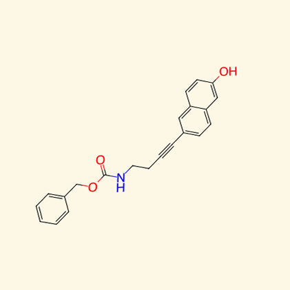 O=C(NCCC#Cc1ccc2cc(O)ccc2c1)OCc1ccccc1